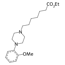 CCOC(=O)CCCCCCN1CCN(c2ccccc2OC)CC1